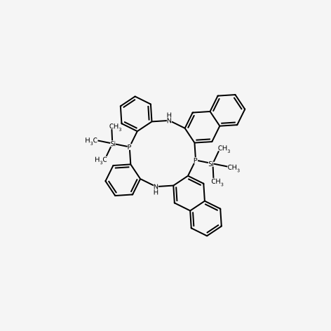 C[Si](C)(C)P1c2ccccc2Nc2cc3ccccc3cc2P([Si](C)(C)C)c2cc3ccccc3cc2Nc2ccccc21